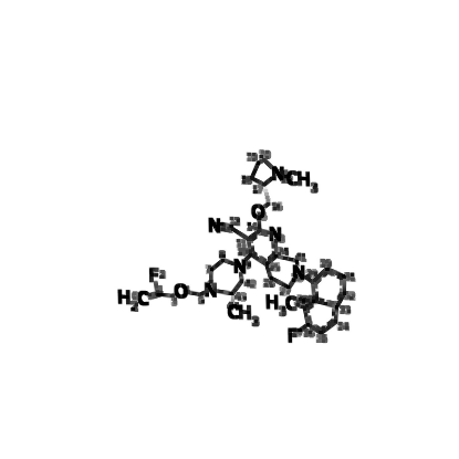 C=C(F)COCN1CCN(c2c(C#N)c(OC[C@@H]3CCCN3C)nc3c2CCN(c2cccc4ccc(F)c(C)c24)C3)C[C@@H]1C